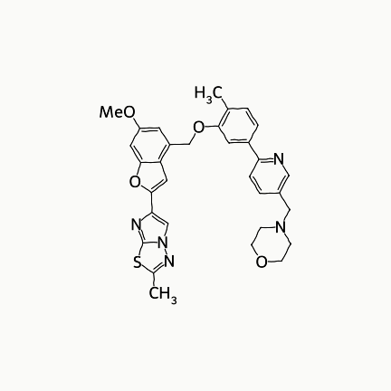 COc1cc(COc2cc(-c3ccc(CN4CCOCC4)cn3)ccc2C)c2cc(-c3cn4nc(C)sc4n3)oc2c1